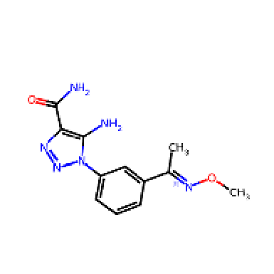 CO/N=C(\C)c1cccc(-n2nnc(C(N)=O)c2N)c1